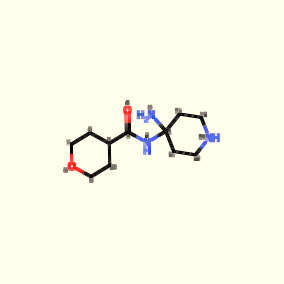 NC1(NC(=O)C2CCOCC2)CCNCC1